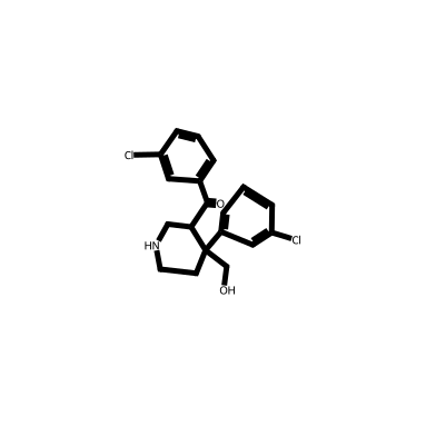 O=C(c1cccc(Cl)c1)C1CNCCC1(CO)c1cccc(Cl)c1